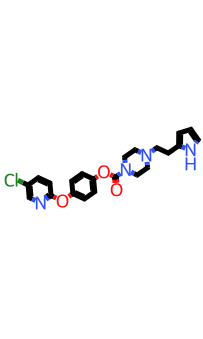 O=C(Oc1ccc(Oc2ccc(Cl)cn2)cc1)N1CCN(CCc2ccc[nH]2)CC1